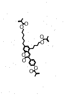 C=C(C)C(=O)OCCCCCCc1cc(CCCCOC(=O)C(=C)C)c2cc(-c3ccc(OC(=O)C(=C)C)cc3)c(=O)oc2c1